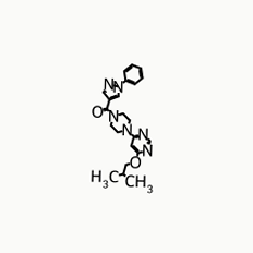 CC(C)COc1cc(N2CCN(C(=O)c3cnn(-c4ccccc4)c3)CC2)ncn1